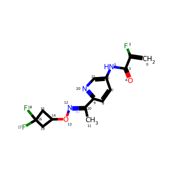 C=C(F)C(=O)Nc1ccc(/C(C)=N/OC2CC(F)(F)C2)nc1